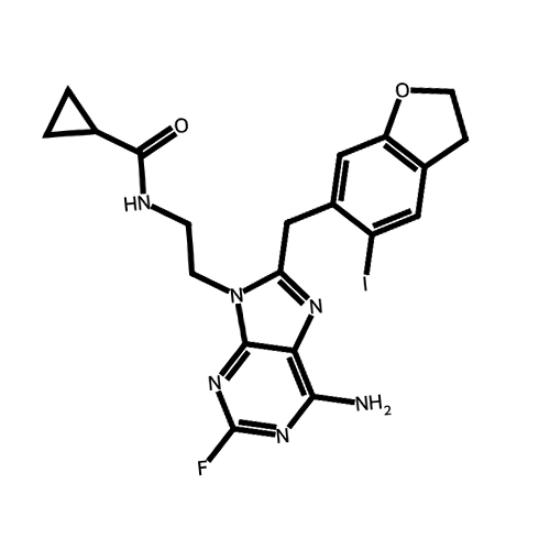 Nc1nc(F)nc2c1nc(Cc1cc3c(cc1I)CCO3)n2CCNC(=O)C1CC1